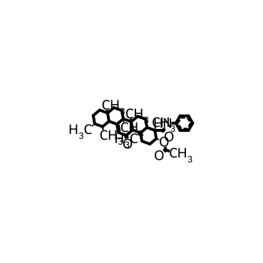 CC(=O)O[C@@H]1CC[C@@]2(C)C(CC[C@]3(C)C2C(=O)C=C2C4[C@@H](C)[C@H](C)CC[C@]4(C)CC[C@]23C)[C@@]1(C)C(=O)Nc1ccccc1